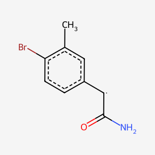 Cc1cc([CH]C(N)=O)ccc1Br